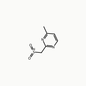 Cc1ccnc(C[SH](=O)=O)n1